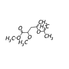 C=C(CC(OC)C(=O)OC)OC(C)C